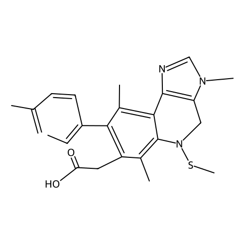 C=C(C)/C=C\C(=C/C)c1c(C)c2c(c(C)c1CC(=O)O)N(SC)Cc1c-2ncn1C